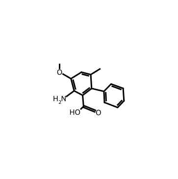 COc1cc(C)c(-c2ccccc2)c(C(=O)O)c1N